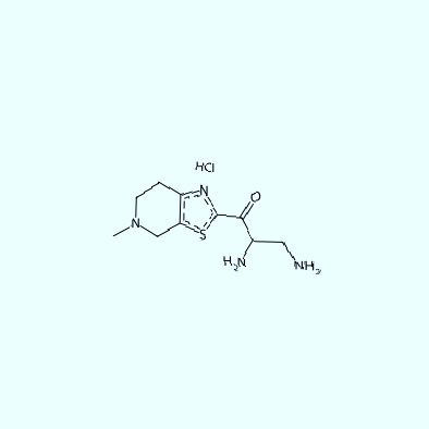 CN1CCc2nc(C(=O)C(N)CN)sc2C1.Cl